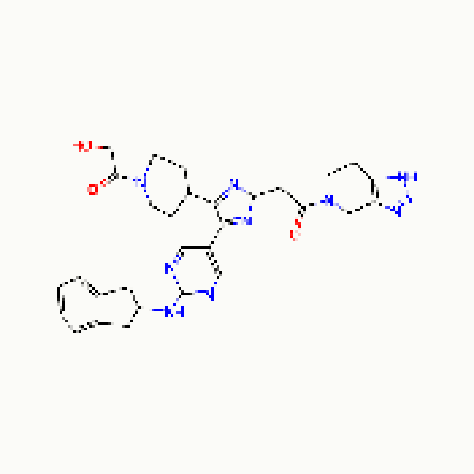 O=C(CO)N1CCC(C2=NC(CC(=O)N3CCc4[nH]nnc4C3)N=C2c2cnc(NC3Cc4ccccc4C3)nc2)CC1